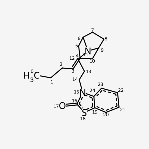 CCCC=C1CC2CCC(C1)N2CCCn1c(=O)sc2ccccc21